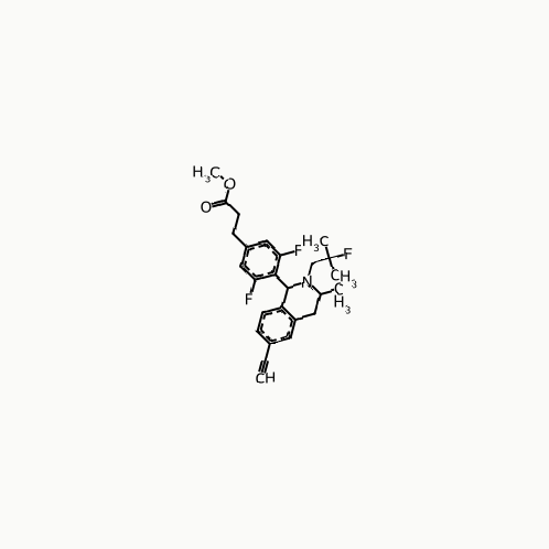 C#Cc1ccc2c(c1)CC(C)N(CC(C)(C)F)C2c1c(F)cc(CCC(=O)OC)cc1F